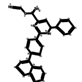 N=COC(N)C1=CC(c2ccccc2)NC(c2ccc(-c3cccc4ccccc34)cc2)=N1